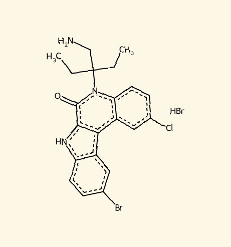 Br.CCC(CC)(CN)n1c(=O)c2[nH]c3ccc(Br)cc3c2c2cc(Cl)ccc21